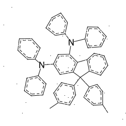 Cc1ccc(C2(c3ccc(C)cc3)c3ccccc3-c3c(N(c4ccccc4)c4ccccc4)cc(N(c4ccccc4)c4ccccc4)cc32)cc1